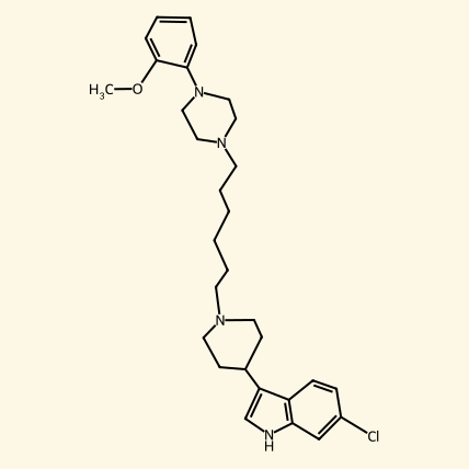 COc1ccccc1N1CCN(CCCCCCN2CCC(c3c[nH]c4cc(Cl)ccc34)CC2)CC1